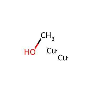 CO.[Cu].[Cu]